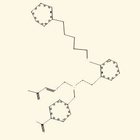 O=C(O)/C=C/CN(CCc1ccccc1OCCCCCc1ccccc1)Cc1ccc(C(=O)O)cc1